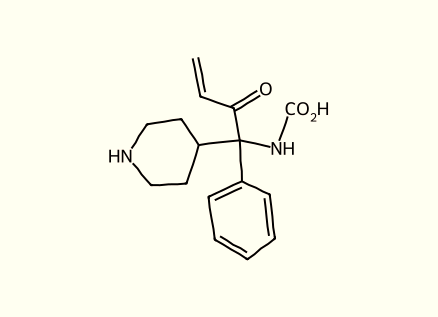 C=CC(=O)C(NC(=O)O)(c1ccccc1)C1CCNCC1